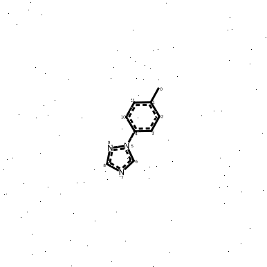 Cc1c[c]c(-n2cncn2)cc1